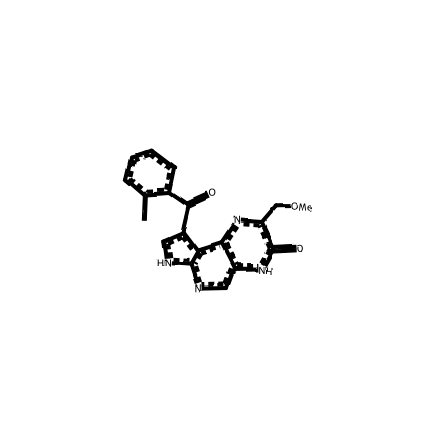 COCc1nc2c(cnc3[nH]cc(C(=O)c4ccccc4C)c32)[nH]c1=O